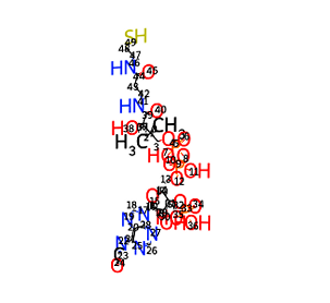 CC(C)(COP(=O)(O)OP(=O)(O)OC[C@H]1O[C@@H](n2cnc3c(N=C=O)ncnc32)[C@H](O)[C@@H]1OP(=O)(O)O)[C@@H](O)C(=O)NCCC(=O)NCCS